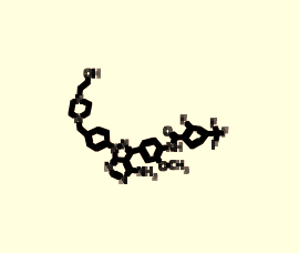 COc1cc(-c2nn(-c3ccc(CN4CCN(CCO)CC4)cc3)c3ncnc(N)c23)ccc1NC(=O)c1ccc(C(F)(F)F)cc1F